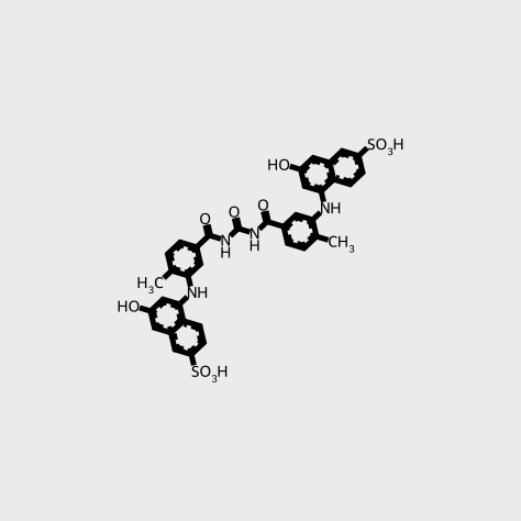 Cc1ccc(C(=O)NC(=O)NC(=O)c2ccc(C)c(Nc3cc(O)cc4cc(S(=O)(=O)O)ccc34)c2)cc1Nc1cc(O)cc2cc(S(=O)(=O)O)ccc12